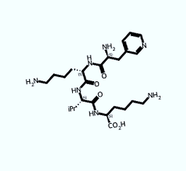 CC(C)[C@H](NC(=O)[C@H](CCCCN)NC(=O)[C@@H](N)Cc1cccnc1)C(=O)N[C@@H](CCCCN)C(=O)O